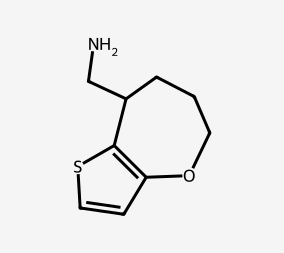 NCC1CCCOc2ccsc21